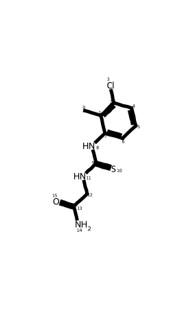 Cc1c(Cl)cccc1NC(=S)NCC(N)=O